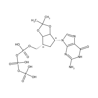 CC1(C)OC2C(O1)[C@H](n1cnc3c(=O)[nH]c(N)nc31)C[C@@H]2COP(=O)(O)OP(=O)(O)OP(=O)(O)O